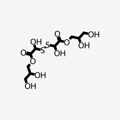 O=C(OCC(O)CO)C(O)SSC(O)C(=O)OCC(O)CO